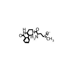 C[S+]([O-])CC[C@@H](N)C(=O)N1CCc2[nH]c(=O)c3ccccc3c2C1